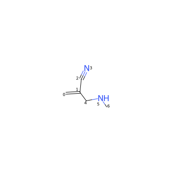 C=C(C#N)CNC